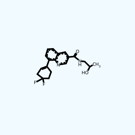 CC(O)CNC(=O)c1cnc2c(C3=CCC(F)(F)CC3)cccc2c1